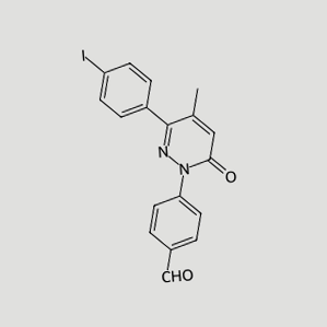 Cc1cc(=O)n(-c2ccc(C=O)cc2)nc1-c1ccc(I)cc1